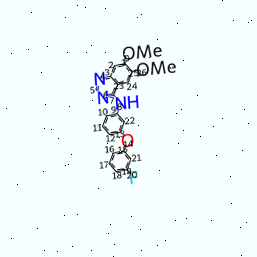 COc1cc2ncnc(Nc3cccc(Oc4cccc(F)c4)c3)c2cc1OC